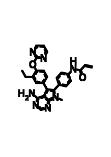 C=CC(=O)Nc1ccc(-c2c(-c3ccc(Oc4ncccn4)c(CC)c3)c3c(N)ncnc3n2C)cc1